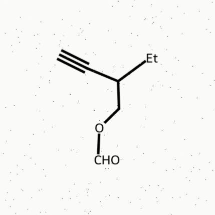 C#CC(CC)COC=O